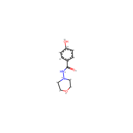 O=C(NN1CCOCC1)c1ccc(O)cc1